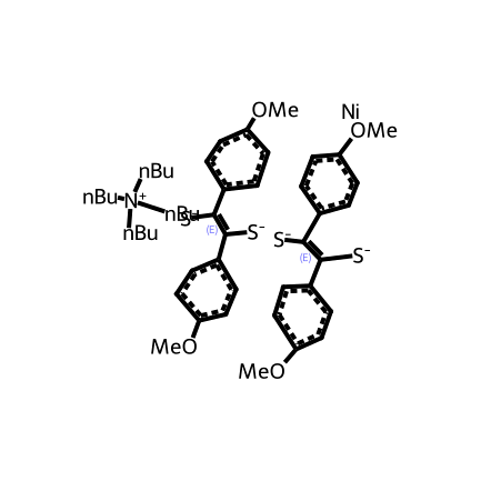 CCCC[N+](CCCC)(CCCC)CCCC.COc1ccc(/C([S-])=C(\[S-])c2ccc(OC)cc2)cc1.COc1ccc(/C([S-])=C(\[S-])c2ccc(OC)cc2)cc1.[Ni]